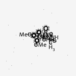 COc1ccc(C(OC[C@]2(CO)CN(C3CCCCC3)C[C@H](n3cc(C)c(=O)[nH]c3=O)O2)(c2ccccc2)c2ccc(OC)cc2)cc1